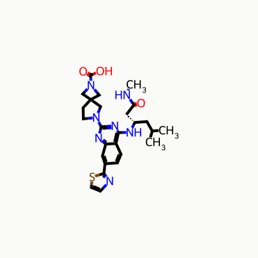 CNC(=O)C[C@H](CC(C)C)Nc1nc(N2CCC3(CN(C(=O)O)C3)C2)nc2cc(-c3nccs3)ccc12